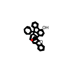 Oc1ccc(-c2cccc3c2oc2ccccc23)c2c1-c1ccccc1C2(C1=CC=CCC#C1)C1C=CC=CC1